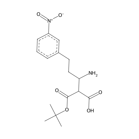 CC(C)(C)OC(=O)C(C(=O)O)C(N)CCc1cccc([N+](=O)[O-])c1